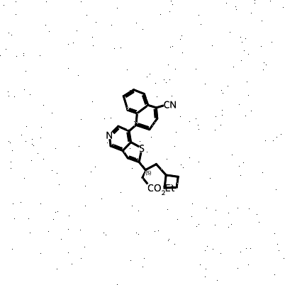 CCOC(=O)C[C@H](CC1CCC1)c1cc2cncc(-c3ccc(C#N)c4ccccc34)c2s1